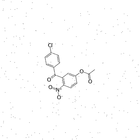 CC(=O)Oc1ccc([N+](=O)[O-])c(C(=O)c2ccc(Cl)cc2)c1